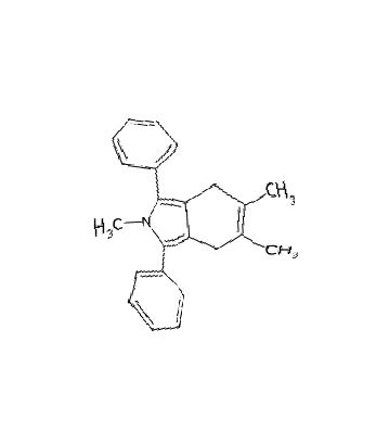 CC1=C(C)Cc2c(c(-c3ccccc3)n(C)c2-c2ccccc2)C1